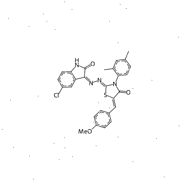 COc1ccc(C=C2SC(=NN=C3C(=O)Nc4ccc(Cl)cc43)N(c3ccc(C)cc3C)C2=O)cc1